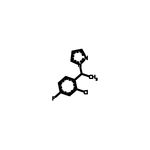 CC(c1ccc(F)cc1Cl)n1cccn1